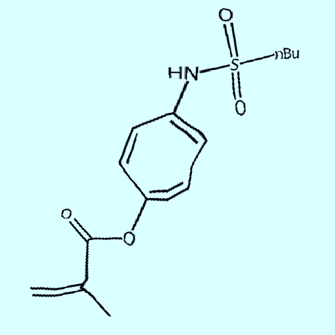 C=C(C)C(=O)Oc1ccc(NS(=O)(=O)CCCC)cc1